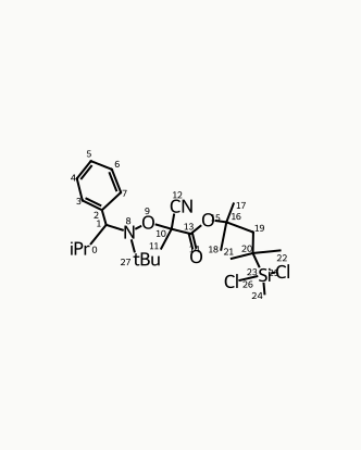 CC(C)C(c1ccccc1)N(OC(C)(C#N)C(=O)OC(C)(C)CC(C)(C)[Si](C)(Cl)Cl)C(C)(C)C